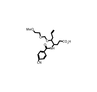 C=CCC(OCOCCOC)C(CCC(=O)O)NC(=O)c1ccc(C#N)cc1